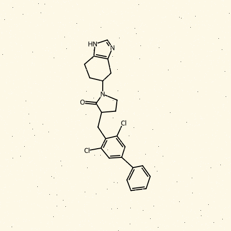 O=C1C(Cc2c(Cl)cc(-c3ccccc3)cc2Cl)CCN1C1CCc2[nH]cnc2C1